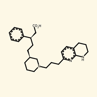 O=C(O)C[C@@H](CC[C@@H]1CCCN(CCCc2ccc3c(n2)NCCC3)C1)c1ccccc1